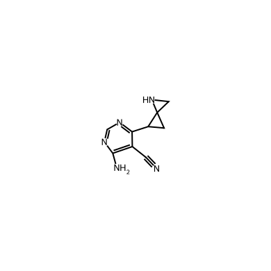 N#Cc1c(N)ncnc1C1CC12CN2